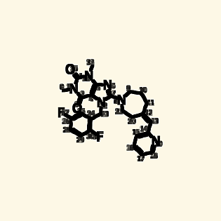 Cn1c(=O)c2c(nc(N3CCC/C(=C/c4ccccn4)CC3)n2Cc2cc(F)ccc2F)n(C)c1=O